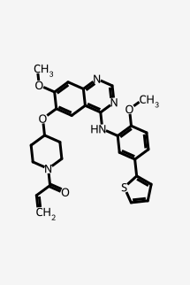 C=CC(=O)N1CCC(Oc2cc3c(Nc4cc(-c5cccs5)ccc4OC)ncnc3cc2OC)CC1